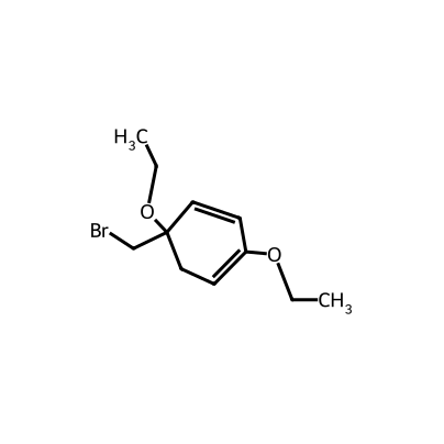 CCOC1=CCC(CBr)(OCC)C=C1